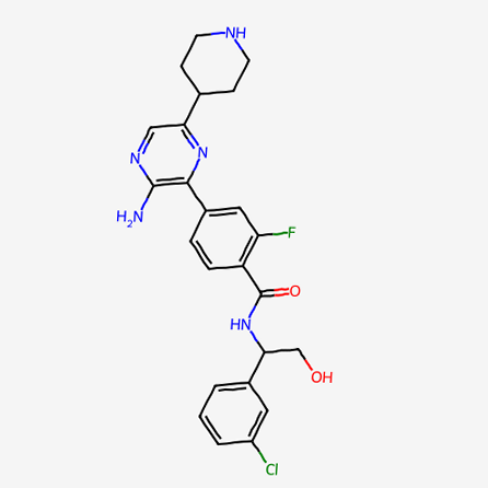 Nc1ncc(C2CCNCC2)nc1-c1ccc(C(=O)NC(CO)c2cccc(Cl)c2)c(F)c1